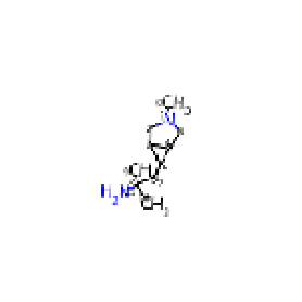 CN1CC2C(C1)C2CC(C)(C)N